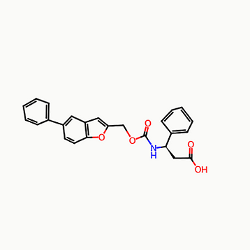 O=C(O)C[C@@H](NC(=O)OCc1cc2cc(-c3ccccc3)ccc2o1)c1ccccc1